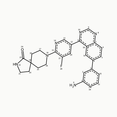 Nc1cc(-c2ccc3ncnc(-c4cnc(N5CCC6(CCNC6=O)CC5)c(F)c4)c3c2)ccn1